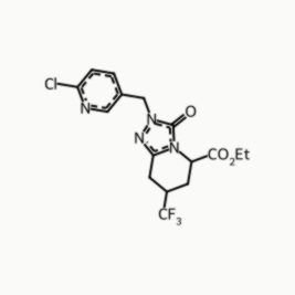 CCOC(=O)C1CC(C(F)(F)F)Cc2nn(Cc3ccc(Cl)nc3)c(=O)n21